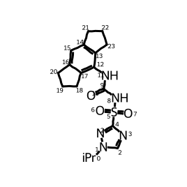 CC(C)n1cnc(S(=O)(=O)NC(=O)Nc2c3c(cc4c2CCC4)CCC3)n1